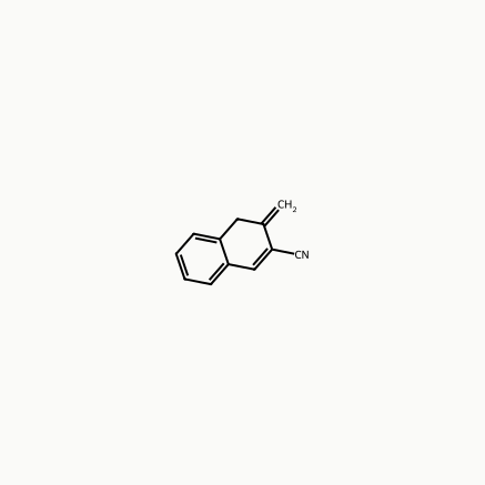 C=C1Cc2ccccc2C=C1C#N